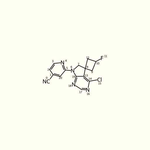 N#Cc1ccnc(N2CC3(CC(F)C3)c3c(Cl)ncnc32)c1